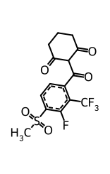 CS(=O)(=O)c1ccc(C(=O)C2C(=O)CCCC2=O)c(C(F)(F)F)c1F